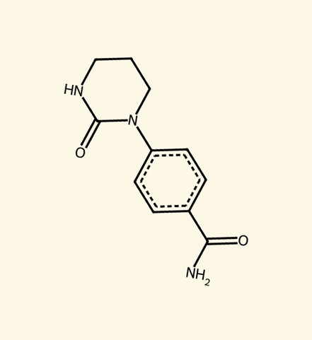 NC(=O)c1ccc(N2CCCNC2=O)cc1